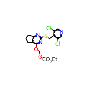 CCOC(=O)OCOc1nc(SCc2c(Cl)cncc2Cl)nc2c1CCC2